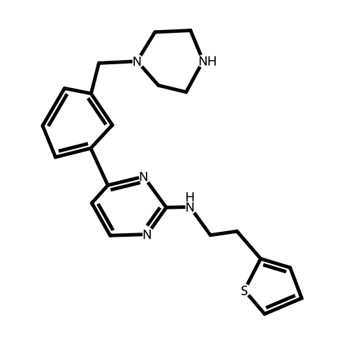 c1cc(CN2CCNCC2)cc(-c2ccnc(NCCc3cccs3)n2)c1